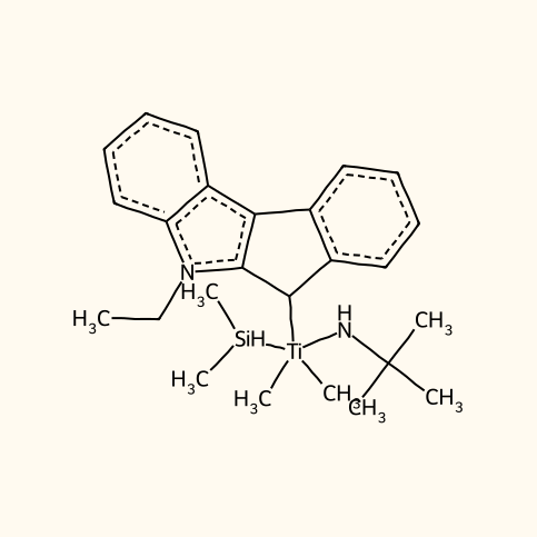 CCn1c2c(c3ccccc31)-c1ccccc1[CH]2[Ti]([CH3])([CH3])([NH]C(C)(C)C)[SiH](C)C